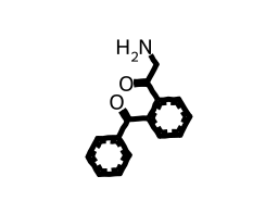 NCC(=O)c1ccccc1C(=O)c1ccccc1